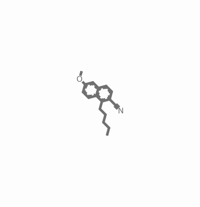 CCCCCc1c(C#N)ccc2cc(OC)ccc12